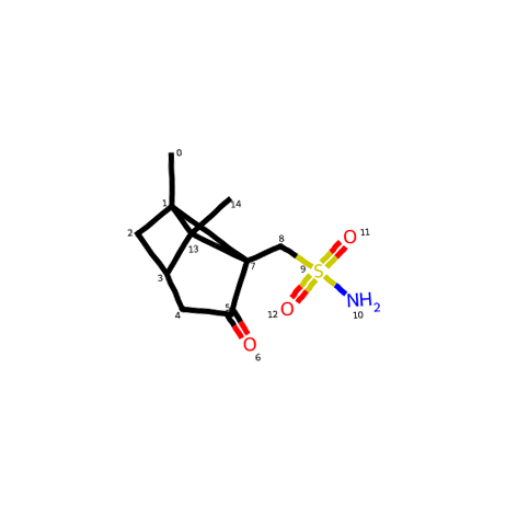 CC12CC3CC(=O)C1(CS(N)(=O)=O)C32C